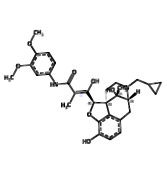 COc1ccc(NC(=O)/C(C)=C(\O)[C@@H]2Oc3c(O)ccc4c3[C@@]23CCN(CC2CC2)[C@H](C4)[C@@]3(C)O)cc1OC